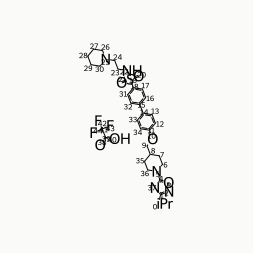 CC(C)c1noc(N2CCC(COc3ccc(-c4ccc(S(=O)(=O)NCCN5CCCCC5)cc4)cc3)CC2)n1.O=C(O)C(F)(F)F